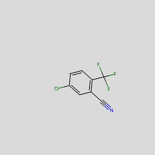 N#Cc1cc(Cl)[c]cc1C(F)(F)F